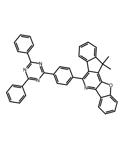 CC1(C)c2ccccc2-c2c(-c3ccc(-c4nc(-c5ccccc5)nc(-c5ccccc5)n4)cc3)nc3c(oc4ccccc43)c21